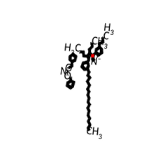 CCCCCCCCCCCCCCCCCCCc1cccc(C2=C(CCCC)C(CCCC)=C(c3cccc(CCCC)c3)[N+]2=[N-])c1.c1ccc(C[O][Ni][O]Cc2ccccc2)cc1